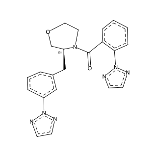 O=C(c1ccccc1-n1nccn1)N1CCOC[C@@H]1Cc1cccc(-n2nccn2)c1